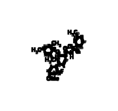 COc1ccc(-c2ccc(C(=O)NS(=O)(=O)c3cccc(C)n3)c(Oc3c(C)cc(C)cc3C)n2)c(F)c1